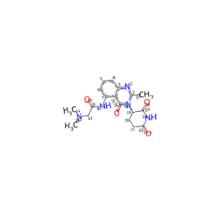 Cc1nc2cccc(NC(=O)CN(C)C)c2c(=O)n1[C@@H]1CCC(=O)NC1=O